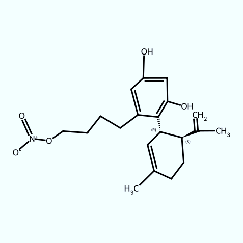 C=C(C)[C@H]1CCC(C)=C[C@@H]1c1c(O)cc(O)cc1CCCCO[N+](=O)[O-]